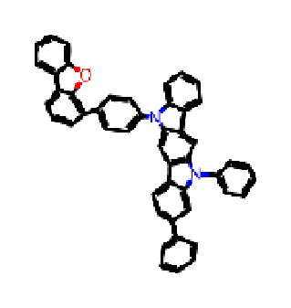 c1ccc(-c2ccc3c4cc5c(cc4n(-c4ccccc4)c3c2)c2ccccc2n5-c2ccc(-c3cccc4c3oc3ccccc34)cc2)cc1